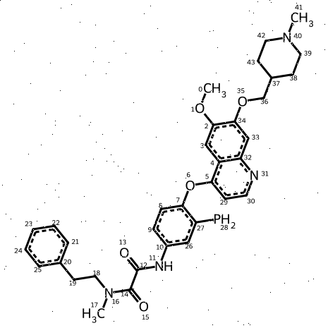 COc1cc2c(Oc3ccc(NC(=O)C(=O)N(C)CCc4ccccc4)cc3P)ccnc2cc1OCC1CCN(C)CC1